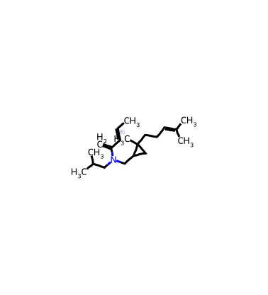 C=C(/C=C/C)N(CC(C)C)CC1CC1(C)CCC=C(C)C